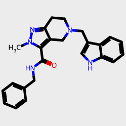 Cn1nc2c(c1C(=O)NCc1ccccc1)CN(Cc1c[nH]c3ccccc13)CC2